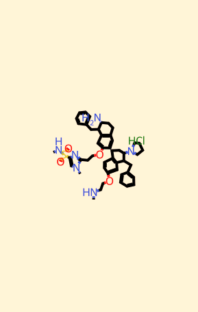 CNCCOc1ccc2c(c1)C(Cc1ccccc1)C(N1CCCC1)CC2.CNS(=O)(=O)c1cn(C)c(CCOc2ccc3c(c2)C(Cc2ccccc2)C(N)CC3)n1.Cl